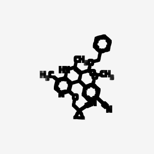 COc1cc(C#N)ccc1C1C(C(=O)OCc2ccccc2)=C(C)Nc2c(C)cnc(OCC3(C#N)CC3)c21